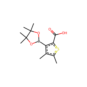 Cc1sc(C(=O)O)c(B2OC(C)(C)C(C)(C)O2)c1C